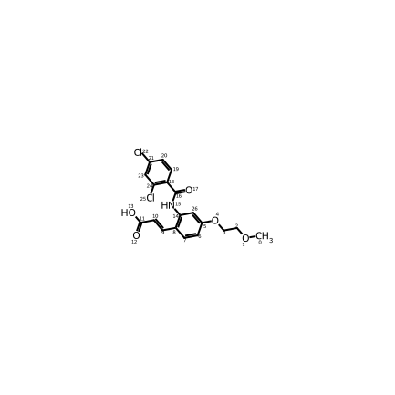 COCCOc1ccc(C=CC(=O)O)c(NC(=O)c2ccc(Cl)cc2Cl)c1